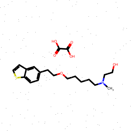 CN(CCO)CCCCCOCCc1ccc2sccc2c1.O=C(O)C(=O)O